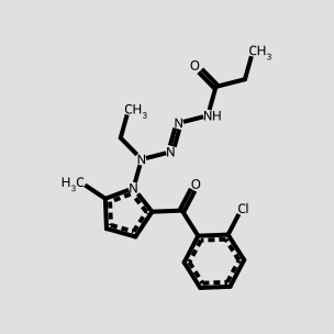 CCC(=O)N/N=N/N(CC)n1c(C)ccc1C(=O)c1ccccc1Cl